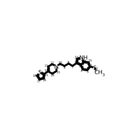 CSc1ccc2c(CCCCN3CC=C(c4cccs4)CC3)c[nH]c2c1